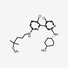 CCCOC(C)(C)CCCNc1ccc(Cl)c(-c2cc(N[C@H]3CC[C@H](O)CC3)ncc2Cl)n1